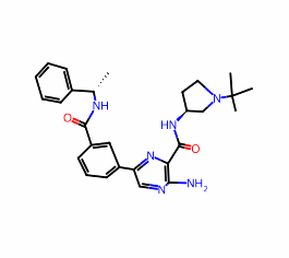 C[C@H](NC(=O)c1cccc(-c2cnc(N)c(C(=O)N[C@H]3CCN(C(C)(C)C)C3)n2)c1)c1ccccc1